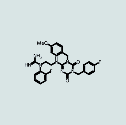 COc1ccc(Cn2c(NCCN(C(=N)N)c3ccccc3F)nc(=O)n(Cc3ccc(F)cc3)c2=O)cc1